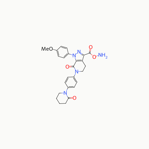 COc1ccc(-n2nc(C(=O)ON)c3c2C(=O)N(c2ccc(N4CCCCC4=O)cc2)CC3)cc1